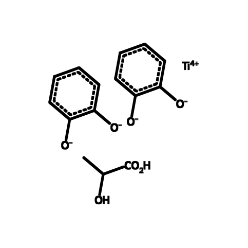 CC(O)C(=O)O.[O-]c1ccccc1[O-].[O-]c1ccccc1[O-].[Ti+4]